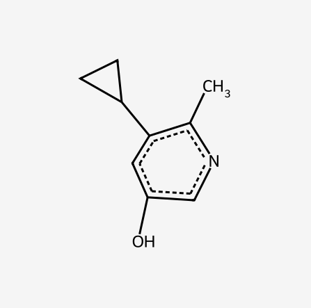 Cc1ncc(O)cc1C1CC1